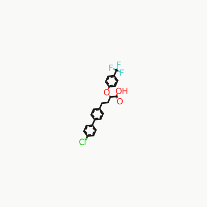 O=C(O)C(CCc1ccc(-c2ccc(Cl)cc2)cc1)Oc1ccc(C(F)(F)F)cc1